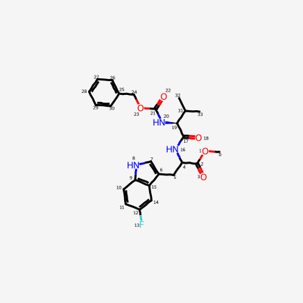 COC(=O)C(Cc1c[nH]c2ccc(F)cc12)NC(=O)[C@@H](NC(=O)OCc1ccccc1)C(C)C